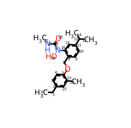 CCc1ccc(OCc2ccc(C(C)C)cc2N(O)C(=O)NC)c(C)c1